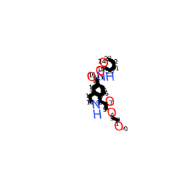 COCCOCC(=O)C1NCCc2cc(C(=O)NOC3CCCCO3)ccc21